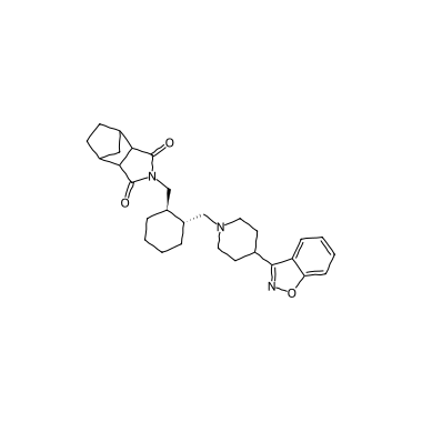 O=C1C2C3CCC(C3)C2C(=O)N1C[C@@H]1CCCC[C@H]1CN1CCC(c2noc3ccccc23)CC1